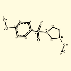 CCOc1ccc(S(=O)(=O)N2CC[C@H](SC(C)=O)C2)cc1